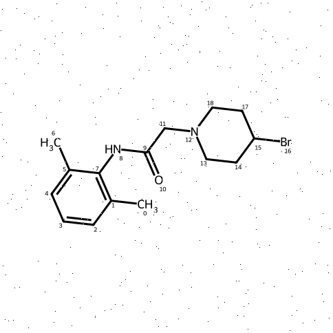 Cc1cccc(C)c1NC(=O)CN1CCC(Br)CC1